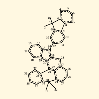 CC1(C)c2ccccc2-c2ccc(-n3c4ccccc4c4c5c6c(cccc6cc43)C(C)(C)c3ccccc3-5)cc21